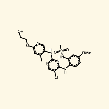 COc1ccc(Nc2nc(Nc3cnc(OCCO)cc3C)ncc2Cl)c(NS(C)(=O)=O)c1